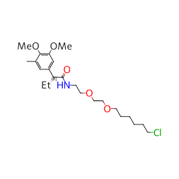 CC[C@@H](C(=O)NCCOCCOCCCCCCCl)c1cc(C)c(OC)c(OC)c1